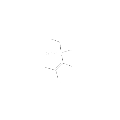 C[Si](C)(CCl)C(Cl)=C(Cl)Cl